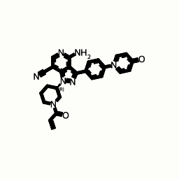 C=CC(=O)N1CCC[C@@H](n2nc(-c3ccc(-n4ccc(=O)cc4)cc3)c3c(N)ncc(C#N)c32)C1